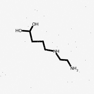 NCCNCCCC(O)O